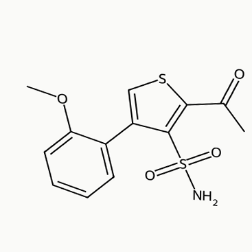 COc1ccccc1-c1csc(C(C)=O)c1S(N)(=O)=O